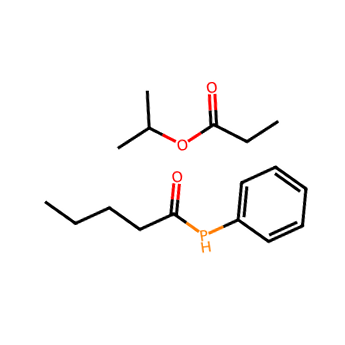 CCC(=O)OC(C)C.CCCCC(=O)Pc1ccccc1